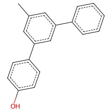 Cc1cc(-c2ccccc2)cc(-c2ccc(O)cc2)c1